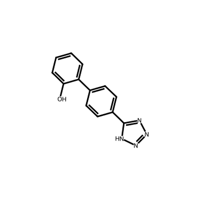 Oc1ccccc1-c1ccc(-c2nnn[nH]2)cc1